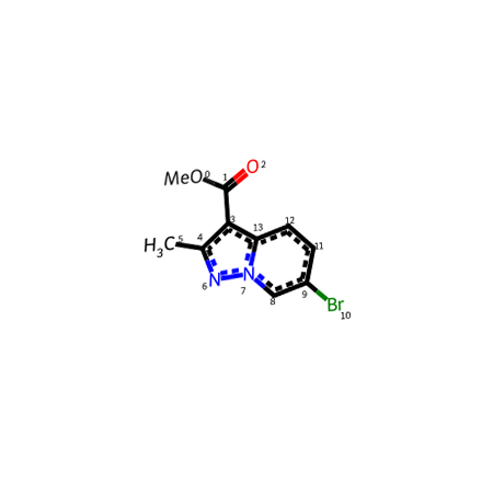 COC(=O)c1c(C)nn2cc(Br)ccc12